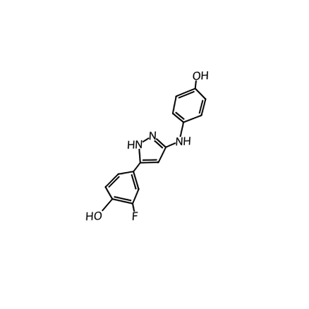 Oc1ccc(Nc2cc(-c3ccc(O)c(F)c3)[nH]n2)cc1